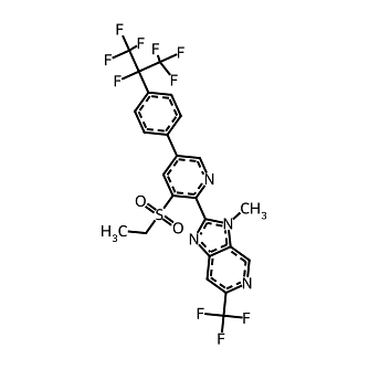 CCS(=O)(=O)c1cc(-c2ccc(C(F)(C(F)(F)F)C(F)(F)F)cc2)cnc1-c1nc2cc(C(F)(F)F)ncc2n1C